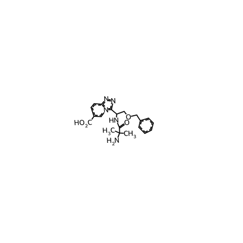 CC(C)(N)C(=O)NC(COCc1ccccc1)c1nnc2ccc(C(=O)O)cn12